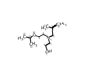 C=C(C)CN(CCO)CCOC(C)C